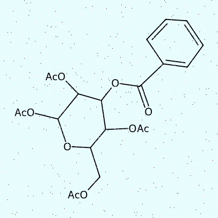 CC(=O)OCC1OC(OC(C)=O)C(OC(C)=O)C(OC(=O)c2ccccc2)C1OC(C)=O